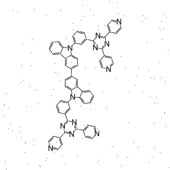 c1cc(-c2nc(-c3ccncc3)nc(-c3ccncc3)n2)cc(-n2c3ccccc3c3cc(-c4ccc5c(c4)c4ccccc4n5-c4cccc(-c5nc(-c6ccncc6)nc(-c6ccncc6)n5)c4)ccc32)c1